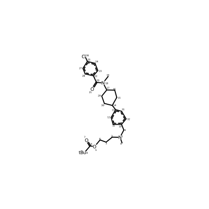 CN(CCCOC(=O)C(C)(C)C)Cc1ccc(C2CCC(N(C)C(=O)c3ccc(Cl)cc3)CC2)cc1